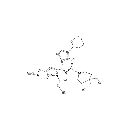 COc1ccc2c(c1)cc(-c1nc(N3CCC(CO)(CO)CC3)nc3c1ncn3C1CCCCO1)n2C(=O)OC(C)(C)C